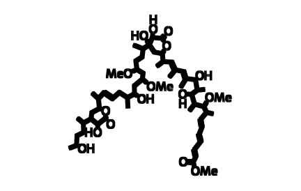 COC(=O)/C=C/C=C/C=C/C(C)C(OC)C(C)C(O)C(C)C(O)/C(C)=C/C(C)=C/C(C)C1CC(O)(C(C)CCC(CC(CC(O)C(C)C/C=C/C(C)C2CC(C(C)CCC(C)O)C(O)C(=O)O2)OC)OC)C(O)C(=O)O1